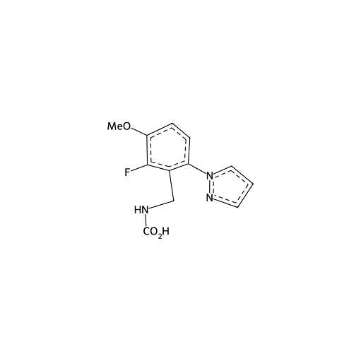 COc1ccc(-n2cccn2)c(CNC(=O)O)c1F